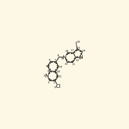 Clc1cnc2ccc(Cn3ccc4ncc(I)c-4c3)cc2c1